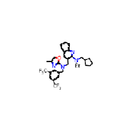 CCN(CC1CCCC1)c1nc2ccccc2cc1CN(Cc1cc(C(F)(F)F)cc(C(F)(F)F)c1)c1nc(C)co1